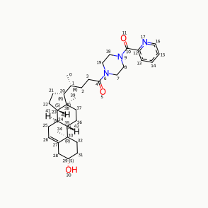 C[C@H](CCC(=O)N1CCN(C(=O)c2ccccn2)CC1)[C@H]1CC[C@H]2[C@@H]3CC=C4C[C@@H](O)CC[C@]4(C)[C@H]3CC[C@]12C